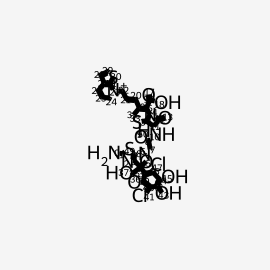 Nc1nc(C(ON=CC(=O)NC2C(=O)N3C(C(=O)O)=C(C=CC[n+]4cccc5ccsc54)CS[C@H]23)(C(=O)O)c2cc(Cl)c(O)c(O)c2Cl)cs1